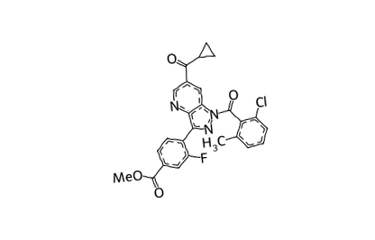 COC(=O)c1ccc(-c2nn(C(=O)c3c(C)cccc3Cl)c3cc(C(=O)C4CC4)cnc23)c(F)c1